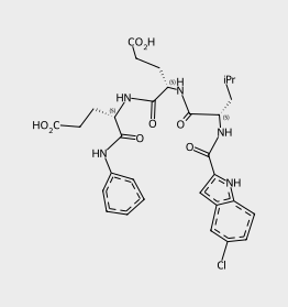 CC(C)C[C@H](NC(=O)c1cc2cc(Cl)ccc2[nH]1)C(=O)N[C@@H](CCC(=O)O)C(=O)N[C@@H](CCC(=O)O)C(=O)Nc1ccccc1